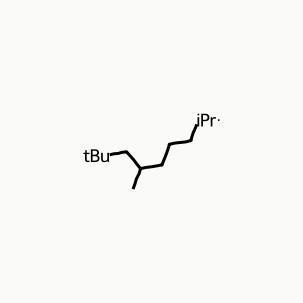 C[C](C)CCCC(C)CC(C)(C)C